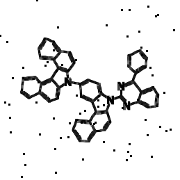 c1ccc(-c2nc(-n3c4ccc(-n5c6ccc7ccccc7c6c6c7ccccc7ccc65)cc4c4c5ccccc5ccc43)nc3ccccc23)cc1